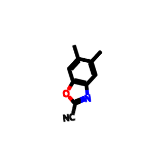 Cc1cc2nc(C#N)oc2cc1C